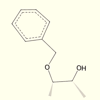 C[C@H](OCc1ccccc1)[C@@H](C)O